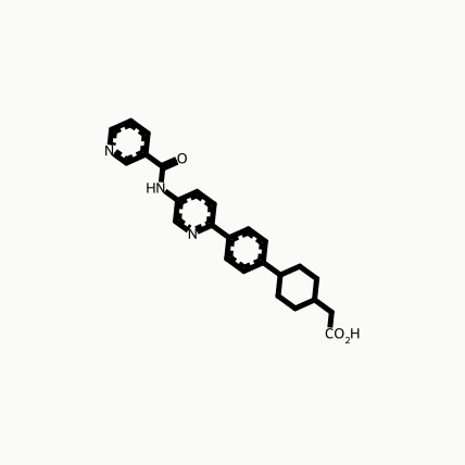 O=C(O)CC1CCC(c2ccc(-c3ccc(NC(=O)c4cccnc4)cn3)cc2)CC1